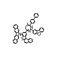 C/C1=C(c2ccc(-c3ccccc3)cc2)/N=C(c2ccc3oc4ccccc4c3c2)\N=C(\c2cc(-n3c4cc5ccccc5cc4c4cc5ccccc5cc43)c3sc4ccc5ccccc5c4c3c2)CC1